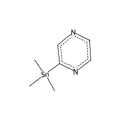 [CH3][Sn]([CH3])([CH3])[c]1cnccn1